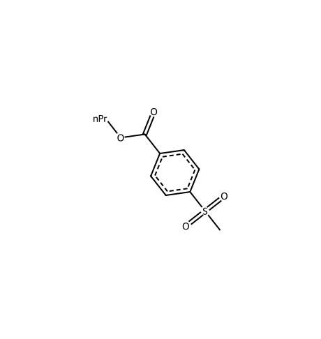 CCCOC(=O)c1ccc(S(C)(=O)=O)cc1